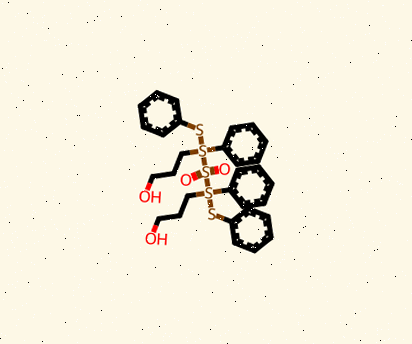 O=S(=O)(S(CCCO)(Sc1ccccc1)c1ccccc1)S(CCCO)(Sc1ccccc1)c1ccccc1